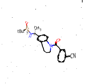 C[C@@H](N[S@+]([O-])C(C)(C)C)c1ccc2c(c1)CCN2C(=O)c1cccc(C#N)c1